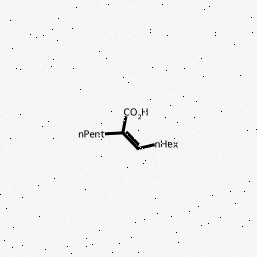 CCCCCCC=C(CCCCC)C(=O)O